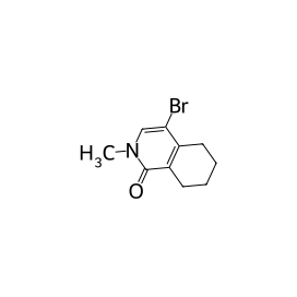 Cn1cc(Br)c2c(c1=O)CCCC2